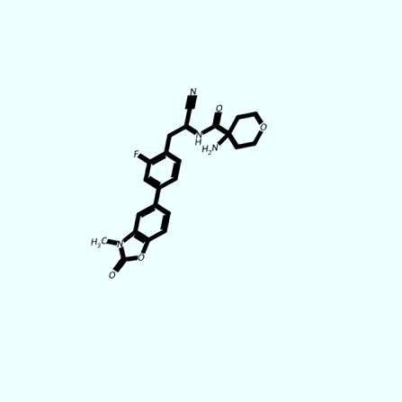 Cn1c(=O)oc2ccc(-c3ccc(CC(C#N)NC(=O)C4(N)CCOCC4)c(F)c3)cc21